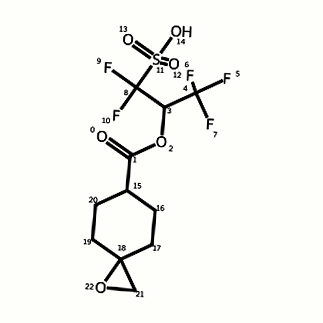 O=C(OC(C(F)(F)F)C(F)(F)S(=O)(=O)O)C1CCC2(CC1)CO2